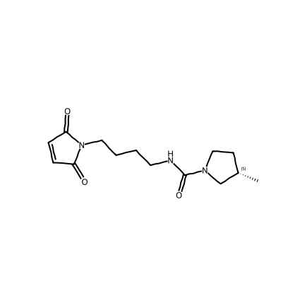 C[C@H]1CCN(C(=O)NCCCCN2C(=O)C=CC2=O)C1